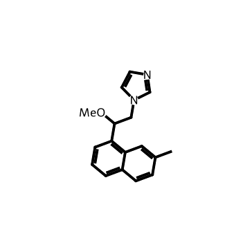 COC(Cn1ccnc1)c1cccc2ccc(C)cc12